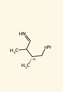 CCCC[C@H](C)C(C)C=N